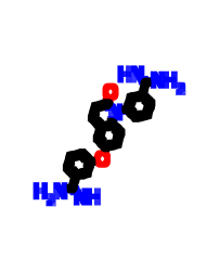 N=C(N)c1cccc(Oc2ccc3c(ccc(=O)n3-c3cccc(C(=N)N)c3)c2)c1